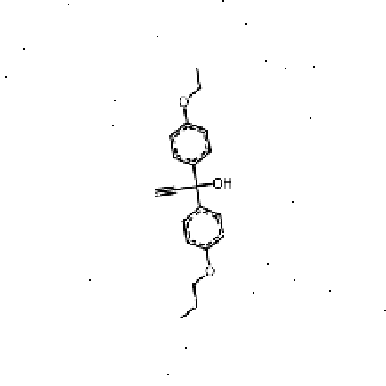 C#CC(O)(c1ccc(OCC)cc1)c1ccc(OCCC)cc1